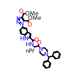 CCC[C@H](NC(=O)c1cc2cc(-n3nnc(C(=O)OC)c3C(=O)OC)ccc2[nH]1)C(=O)N1CCN(C(c2ccccc2)c2ccccc2)CC1